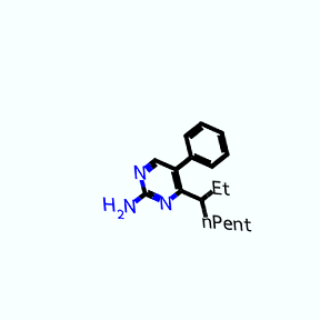 CCCCCC(CC)c1nc(N)ncc1-c1ccccc1